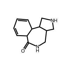 O=C1NCC2CNCC2C2C=CC=CC12